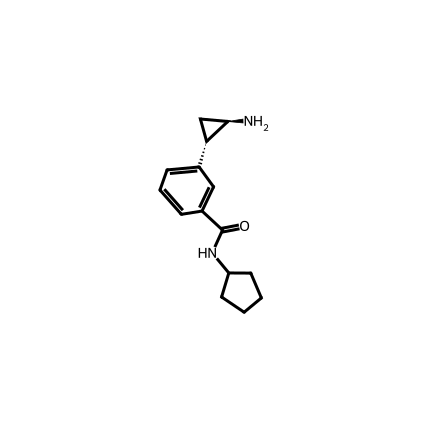 N[C@@H]1C[C@H]1c1cccc(C(=O)NC2CCCC2)c1